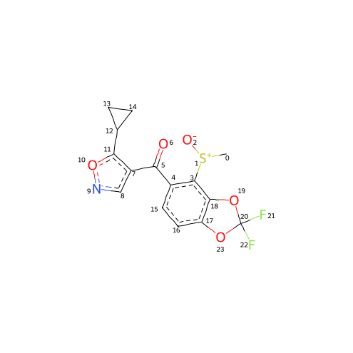 C[S+]([O-])c1c(C(=O)c2cnoc2C2CC2)ccc2c1OC(F)(F)O2